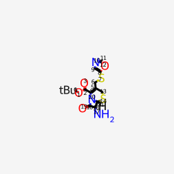 CC(C)(C)OC(=O)C1=C(CSc2cnco2)CS[C@@H]2C(N)C(=O)N12